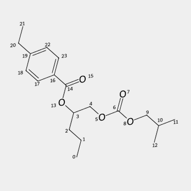 CCCC(COC(=O)OCC(C)C)OC(=O)c1ccc(CC)cc1